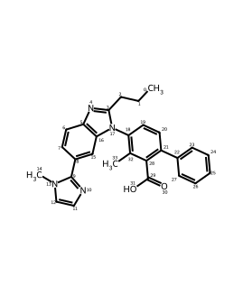 CCCc1nc2ccc(-c3nccn3C)cc2n1-c1ccc(-c2ccccc2)c(C(=O)O)c1C